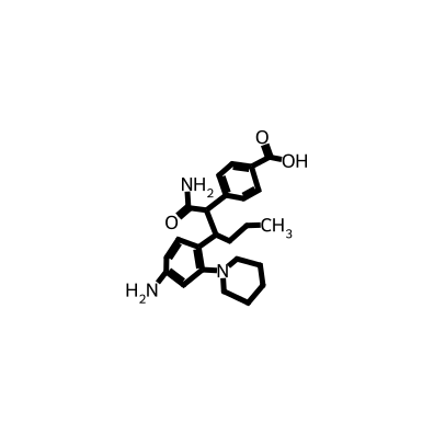 CCCC(c1ccc(N)cc1N1CCCCC1)C(C(N)=O)c1ccc(C(=O)O)cc1